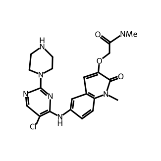 CNC(=O)COc1cc2cc(Nc3nc(N4CCNCC4)ncc3Cl)ccc2n(C)c1=O